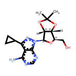 CC1(C)O[C@@H]2[C@H](O1)[C@@H](CO)O[C@H]2n1nc(C2CC2)c2c(N)ncnc21